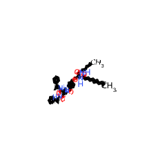 CCCCCCCCCC(=O)N[C@@H](COCc1ccc(C(=O)N2C[C@@H](C(=O)N[C@H]3C[C@@H]3c3ccccc3)[C@H](C(=O)N[C@H]3C[C@@H]3c3ccccc3)C2)cc1)C(=O)NCCCCCC